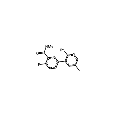 CNC(=O)c1cc(-c2cc(C)cnc2C(C)C)ccc1F